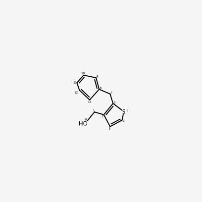 OCc1ccsc1Cc1ccccc1